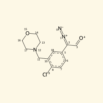 [N-]=[N+]=C(C=O)c1ccc(Cl)c(CN2CCOCC2)c1